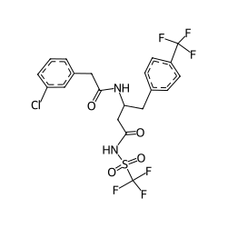 O=C(Cc1cccc(Cl)c1)NC(CC(=O)NS(=O)(=O)C(F)(F)F)Cc1ccc(C(F)(F)F)cc1